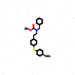 COc1ccc(Sc2ccc(CCN(Cc3ccccc3)C(=O)OC(C)(C)C)cc2)cc1